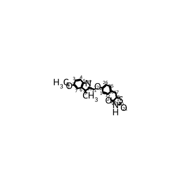 COc1ccc2c(c1)C(C)C(COc1ccc(CC3SC(=O)NC3=O)cc1)=N2